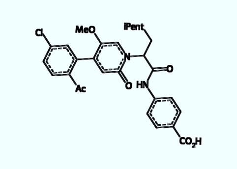 CCCC(C)CC(C(=O)Nc1ccc(C(=O)O)cc1)n1cc(OC)c(-c2cc(Cl)ccc2C(C)=O)cc1=O